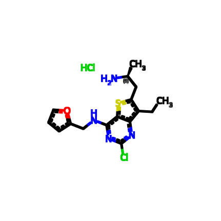 CCc1c(C[C@H](C)N)sc2c(NCc3ccco3)nc(Cl)nc12.Cl